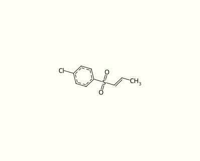 C/C=C/S(=O)(=O)c1ccc(Cl)cc1